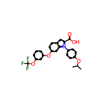 CC(C)Oc1ccc(-n2c(C(=O)O)cc3ccc(Oc4cccc(OC(F)(F)F)c4)cc32)cc1